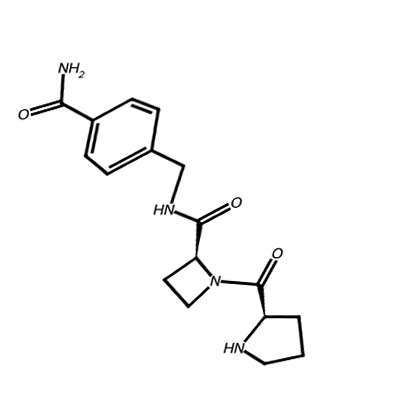 NC(=O)c1ccc(CNC(=O)[C@@H]2CCN2C(=O)[C@H]2CCCN2)cc1